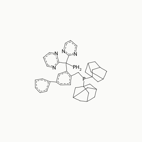 PC(c1ncccn1)(c1ncccn1)c1cc(-c2ccccc2)ccc1CP(C12CC3CC(CC(C3)C1)C2)C12CC3CC(CC(C3)C1)C2